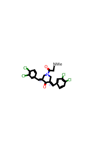 CNCC(=O)N1C/C(=C\c2ccc(Cl)c(Cl)c2)C(=O)/C(=C/c2ccc(Cl)c(Cl)c2)C1